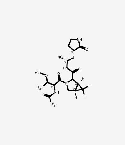 CC(OC(C)(C)C)[C@H](NC(=O)C(F)(F)F)C(=O)N1C[C@H]2[C@@H](C1C(=O)N[C@H](C#N)C[C@@H]1CCNC1=O)C2(F)F